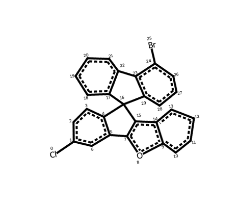 Clc1ccc2c(c1)-c1oc3ccccc3c1C21c2ccccc2-c2c(Br)cccc21